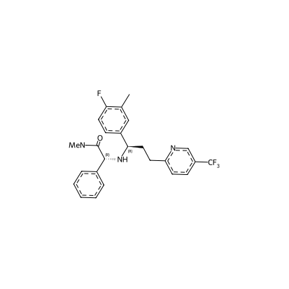 CNC(=O)[C@H](N[C@H](CCc1ccc(C(F)(F)F)cn1)c1ccc(F)c(C)c1)c1ccccc1